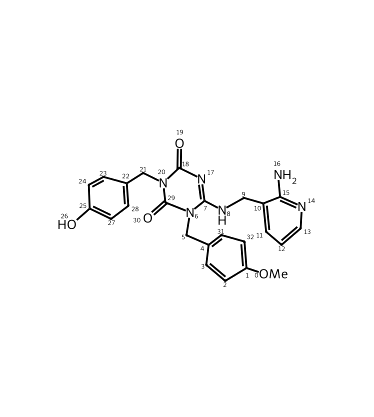 COc1ccc(Cn2c(NCc3cccnc3N)nc(=O)n(Cc3ccc(O)cc3)c2=O)cc1